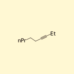 [CH2]CCCCC#CCC